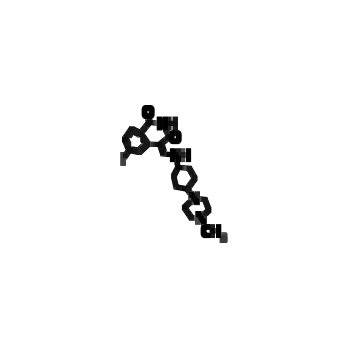 CN1CCN(C2CCC(N/C=C3\C(=O)NC(=O)c4ccc(I)cc43)CC2)CC1